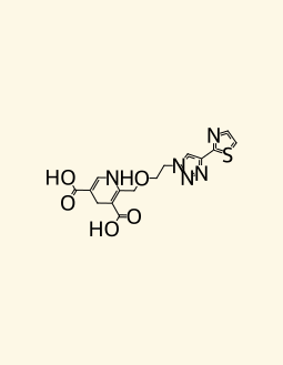 O=C(O)C1=CNC(COCCn2cc(-c3nccs3)nn2)=C(C(=O)O)C1